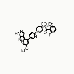 CCOC(=O)C1(NC(=O)c2c(F)cccc2F)CCN(c2ccc(-c3cc(OCC)cn4nc5[nH]ncc5c34)cn2)CC1